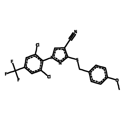 COc1ccc(CSc2nn(-c3c(Cl)cc(C(F)(F)F)cc3Cl)cc2C#N)cc1